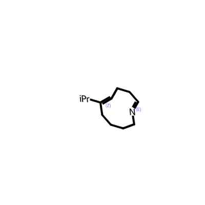 CC(C)/C1=C\CC/C=N/CCCC1